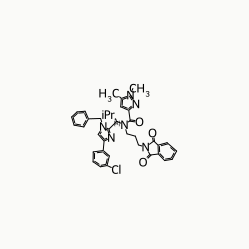 Cc1cc(C(=O)N(CCCN2C(=O)c3ccccc3C2=O)[C@@H](c2nc(-c3cccc(Cl)c3)cn2Cc2ccccc2)C(C)C)nn1C